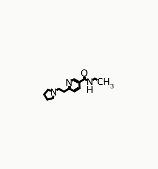 CCNC(=O)c1ccc(CCN2CCCC2)nc1